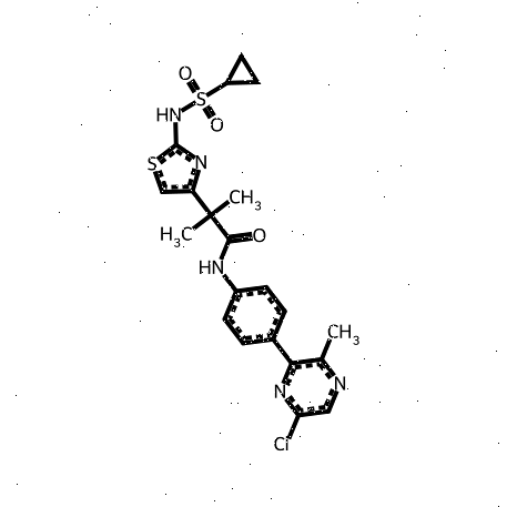 Cc1ncc(Cl)nc1-c1ccc(NC(=O)C(C)(C)c2csc(NS(=O)(=O)C3CC3)n2)cc1